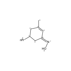 CCCC1CC(C)=CC(=NO)C1